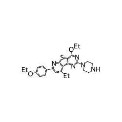 CCOc1ccc(-c2cc(CC)c3c(n2)sc2c(OCC)nc(N4CCNCC4)nc23)cc1